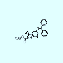 CC(C)(C)OC(=O)NC1(c2cncc(N=C(c3ccccc3)c3ccccc3)c2)CC1